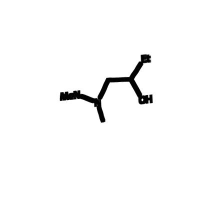 CCC(O)CN(C)NC